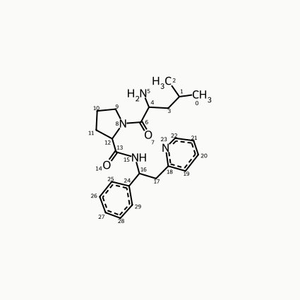 CC(C)CC(N)C(=O)N1CCCC1C(=O)NC(Cc1ccccn1)c1ccccc1